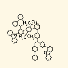 CC1(C)c2cc3c(cc2-c2c(-c4ccc(C(Cc5ccc(-c6ccccc6)cc5)c5ccc(-c6cccc7c6oc6ccccc67)cc5)cc4)cccc21)C(C)(C)c1cc(-n2c4ccccc4c4ccccc42)cc(C2CCc4ccccc4-c4ccccc42)c1-3